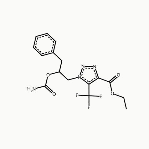 CCOC(=O)c1nnn(CC(Cc2ccccc2)OC(N)=O)c1C(F)(F)F